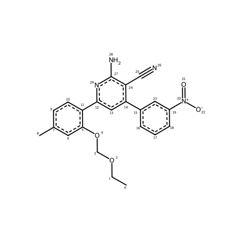 CCOCOc1cc(C)ccc1-c1cc(-c2cccc([N+](=O)[O-])c2)c(C#N)c(N)n1